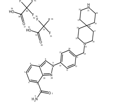 NC(=O)c1cccc2cn(-c3ccc(CN4CCC5(CCNCC5)CC4)cc3)nc12.O=C(O)C(F)(F)F.O=C(O)C(F)(F)F